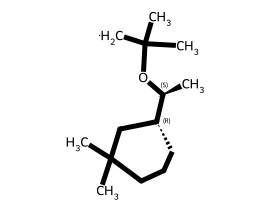 [CH2]C(C)(C)O[C@@H](C)[C@@H]1CCCC(C)(C)C1